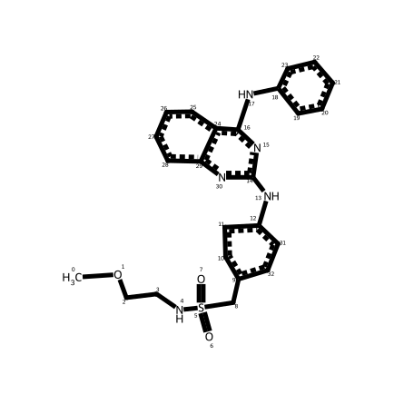 COCCNS(=O)(=O)Cc1ccc(Nc2nc(Nc3ccccc3)c3ccccc3n2)cc1